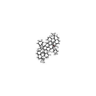 C[Si](C)(C)c1ccc2ccc([Si](C)(C)C)c(N(c3ccccc3)c3cc(-c4ccccc4)c4ccc5c6c(c(-c7ccccc7)c7ccc3c4c75)[Si](C)(C)c3ccc4ccc([Si](C)(C)C)cc4c3N6c3ccccc3)c2c1